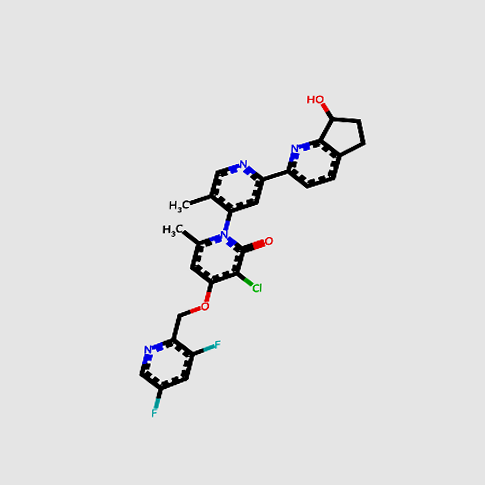 Cc1cnc(-c2ccc3c(n2)C(O)CC3)cc1-n1c(C)cc(OCc2ncc(F)cc2F)c(Cl)c1=O